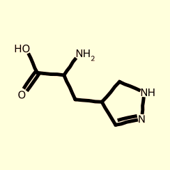 NC(CC1C=NNC1)C(=O)O